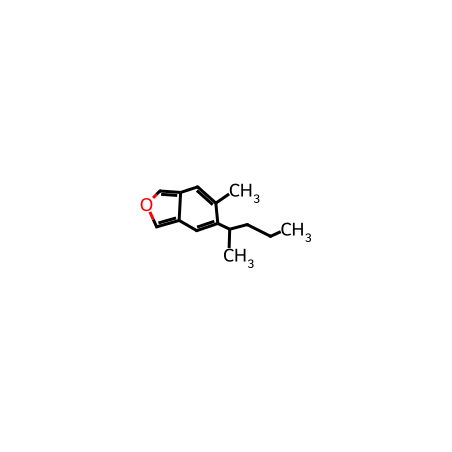 CCCC(C)c1cc2cocc2cc1C